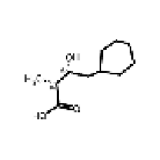 C[C@@H](C(=O)O)[C@H](O)CC1CCCCC1